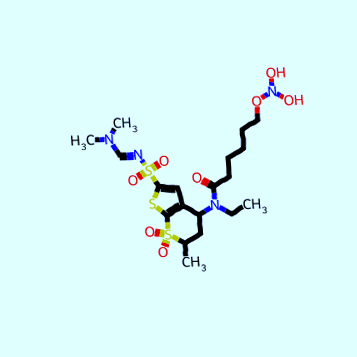 CCN(C(=O)CCCCCON(O)O)C1CC(C)S(=O)(=O)c2sc(S(=O)(=O)/N=C/N(C)C)cc21